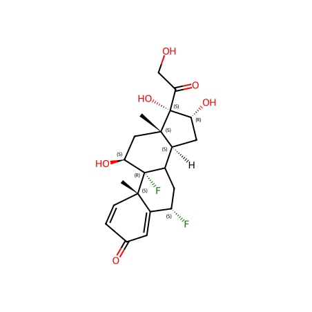 C[C@]12C=CC(=O)C=C1[C@@H](F)CC1[C@@H]3C[C@@H](O)[C@](O)(C(=O)CO)[C@@]3(C)C[C@H](O)[C@@]12F